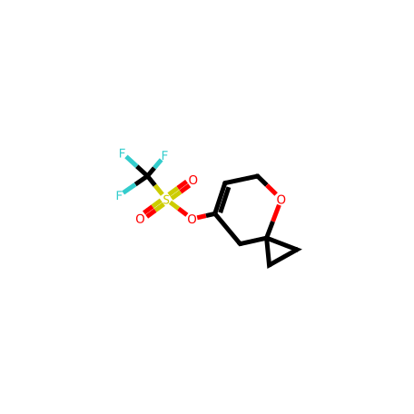 O=S(=O)(OC1=CCOC2(CC2)C1)C(F)(F)F